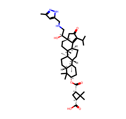 Cc1cc(CNC[C@H](O)[C@@]23CC[C@]4(C)[C@H](CC[C@@H]5[C@@]6(C)CC[C@H](OC(=O)[C@H]7C[C@@H](C(=O)O)C7(C)C)C(C)(C)[C@@H]6CC[C@]54C)C2=C(C(C)C)C(=O)C3)[nH]n1